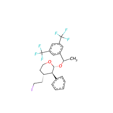 CC(O[C@H]1OCC[C@@H](CCI)[C@@H]1c1ccccc1)c1cc(C(F)(F)F)cc(C(F)(F)F)c1